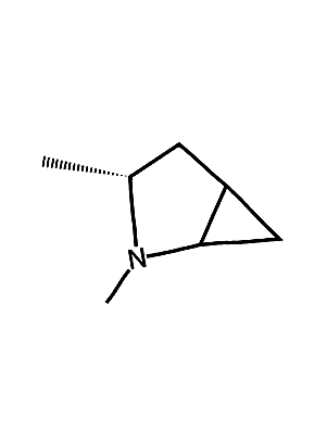 C[C@@H]1CC2CC2N1C